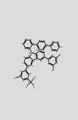 Cc1cc(F)cc(-c2ccc3c(c2)c2cc(-c4cc(F)cc(C(F)(F)F)c4)ccc2n3-c2ccccc2-c2ccc(-c3ccccc3)cc2)c1